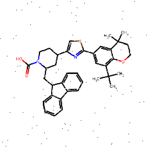 CC(C)(C)c1cc(-c2nc(C3CCN(C(=O)O)C(CC4c5ccccc5-c5ccccc54)C3)cs2)cc2c1OCCC2(C)C